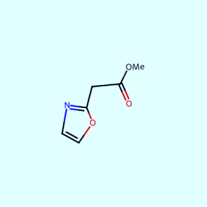 [CH2]OC(=O)Cc1ncco1